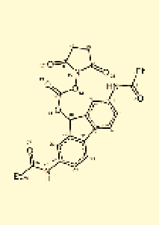 CCC(=O)Nc1ccc2c(c1)C(OC(=O)ON1C(=O)CCC1=O)c1cc(NC(=O)CC)ccc1-2